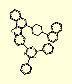 C1=C(c2cc3ccccc3c3oc4ccc(-c5nc(-c6ccccc6)nc(-c6ccccc6)n5)cc4c23)CCC(c2cccc3ccccc23)C1